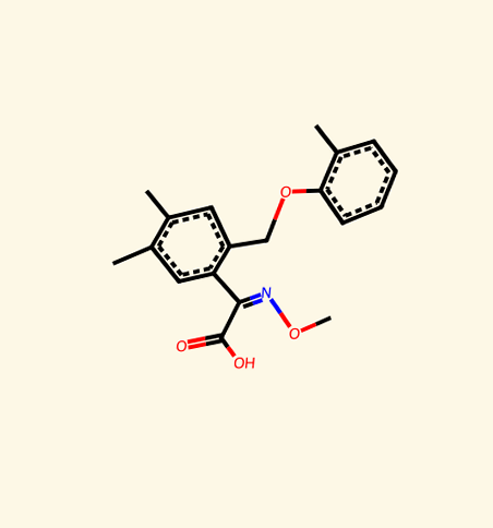 CON=C(C(=O)O)c1cc(C)c(C)cc1COc1ccccc1C